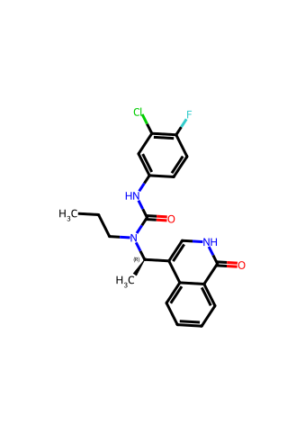 CCCN(C(=O)Nc1ccc(F)c(Cl)c1)[C@H](C)c1c[nH]c(=O)c2ccccc12